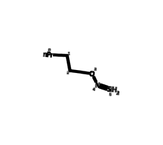 CCCCCON=[SiH2]